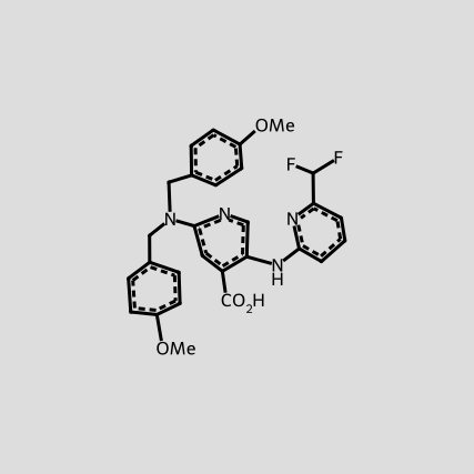 COc1ccc(CN(Cc2ccc(OC)cc2)c2cc(C(=O)O)c(Nc3cccc(C(F)F)n3)cn2)cc1